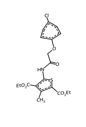 CCOC(=O)c1sc(NC(=O)COc2ccc(Cl)cc2)c(C(=O)OCC)c1C